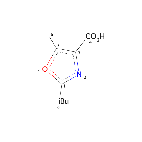 CCC(C)c1nc(C(=O)O)c(C)o1